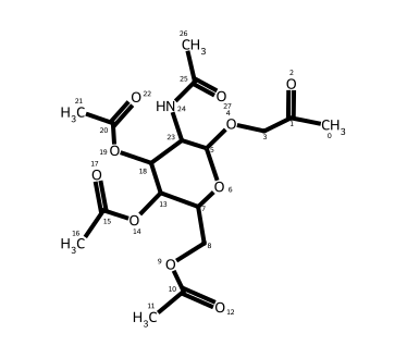 CC(=O)COC1OC(COC(C)=O)C(OC(C)=O)C(OC(C)=O)C1NC(C)=O